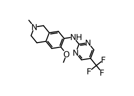 COc1cc2c(cc1Nc1ncc(C(F)(F)F)cn1)CN(C)CC2